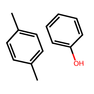 Cc1ccc(C)cc1.Oc1ccccc1